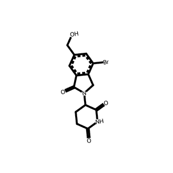 O=C1CCC(N2Cc3c(Br)cc(CO)cc3C2=O)C(=O)N1